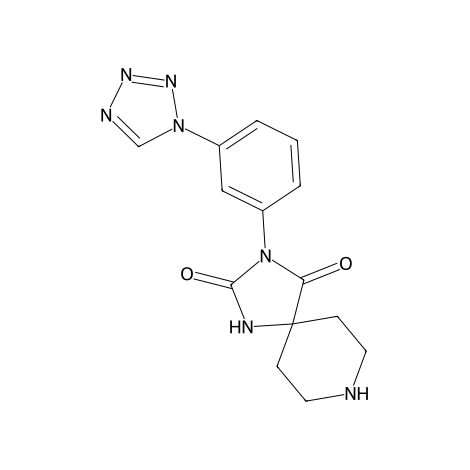 O=C1NC2(CCNCC2)C(=O)N1c1cccc(-n2cnnn2)c1